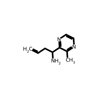 C=CCC(N)c1nccnc1C